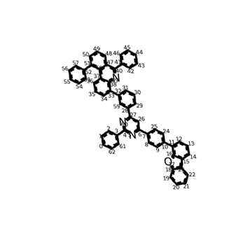 c1ccc(-c2nc(-c3ccc(-c4cccc5c4oc4ccccc45)cc3)cc(-c3cccc(-c4cccc5c4nc(-c4ccccc4)c4cccc(-c6ccccc6)c45)c3)n2)cc1